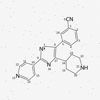 N#Cc1cccc(-c2cnc(-c3ccncc3)nc2C2CCNCC2)c1